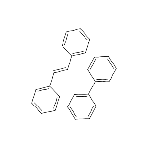 C(=Cc1ccccc1)c1ccccc1.c1ccc(-c2ccccc2)cc1